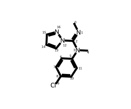 CN=C(N(C)c1ccc(Cl)cc1)n1cccn1